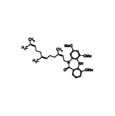 COc1cc(OC)c2c(c1)N(CC=C(C)CCC=C(C)CCC=C(C)C)C(=O)c1cccc(OC)c1N2